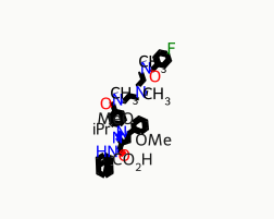 COc1cccc(OC)c1-c1cc(C(=O)NC2(C(=O)O)C3CC4CC(C3)CC2C4)nn1-c1ccc(C(=O)N(C)CCCN(C)CCCN(C)C(=O)c2ccc(F)cc2)cc1C(C)C